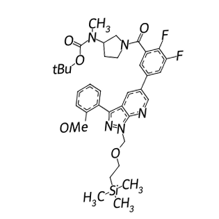 COc1ccccc1-c1nn(COCC[Si](C)(C)C)c2ncc(-c3cc(F)c(F)c(C(=O)N4CCC(N(C)C(=O)OC(C)(C)C)C4)c3)cc12